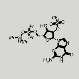 CC(C)[SiH](O[Si](OC[C@H]1O[C@@H](n2cnc3c(=O)[nH]c(N)nc32)[C@H](OS(=O)(=O)C(F)(F)F)C1O)(C(C)C)C(C)C)C(C)C